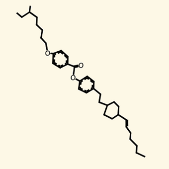 CCCCC/C=C/C1CCC(CCc2ccc(OC(=O)c3ccc(OCCCCCC(C)CC)cc3)cc2)CC1